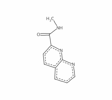 CNC(=O)c1ccc2cccnc2n1